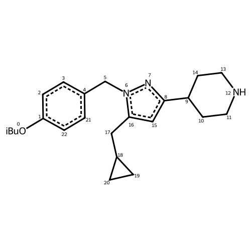 CC(C)COc1ccc(Cn2nc(C3CCNCC3)cc2CC2CC2)cc1